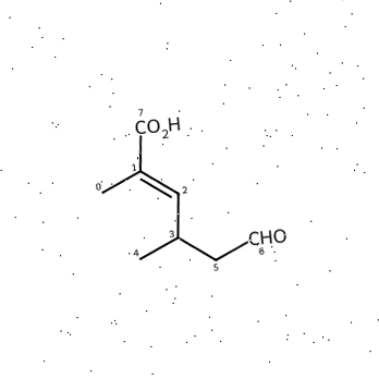 CC(=CC(C)CC=O)C(=O)O